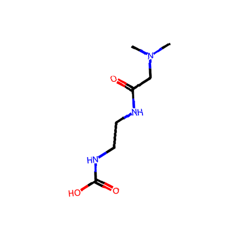 CN(C)CC(=O)NCCNC(=O)O